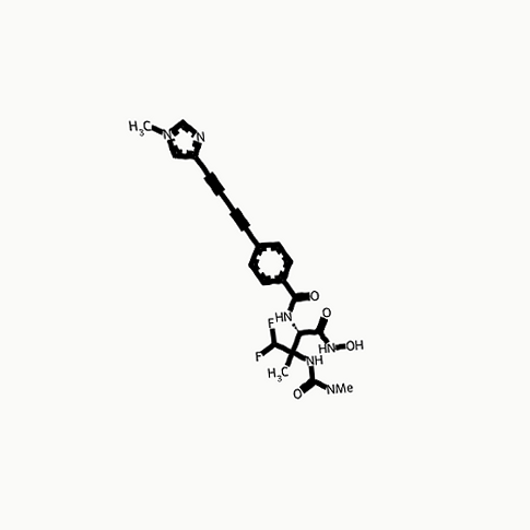 CNC(=O)NC(C)(C(F)F)[C@H](NC(=O)c1ccc(C#CC#Cc2cn(C)cn2)cc1)C(=O)NO